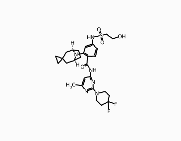 Cc1cc(NC(=O)c2ccc(NS(=O)(=O)CCO)cc2N2[C@@H]3CC[C@H]2CC2(CC2)C3)nc(N2CCC(F)(F)CC2)n1